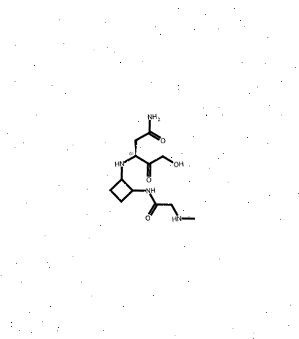 CNCC(=O)NC1CCC1N[C@@H](CC(N)=O)C(=O)CO